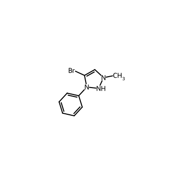 CN1C=C(Br)N(c2ccccc2)N1